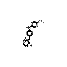 C[C@@]1(Cc2ccc(Nc3cnc(C(F)(F)F)cn3)cc2)CNCCO1